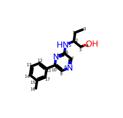 CCC(CO)Nc1cncc(-c2cccc(C)c2)n1